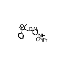 Cc1onc(-c2ccccc2)c1COc1ccc(NC(=O)C(C)C)cn1